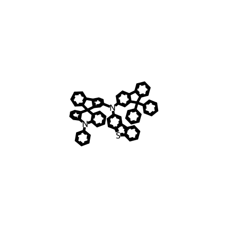 c1ccc(N2c3ccccc3C3(c4ccccc4-c4ccc(N(c5ccc6c(c5)C(c5ccccc5)(c5ccccc5)c5ccccc5-6)c5ccc6sc7ccccc7c6c5)cc43)c3ccccc32)cc1